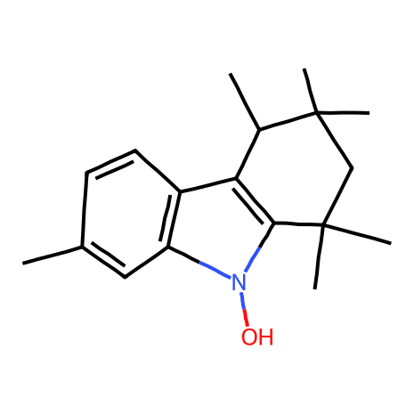 Cc1ccc2c3c(n(O)c2c1)C(C)(C)CC(C)(C)C3C